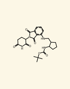 CC(C)(C)OC(=O)NC1CCCC1CNc1cccc2c1C(=O)N(C1CCC(=O)NC1=O)C2=O